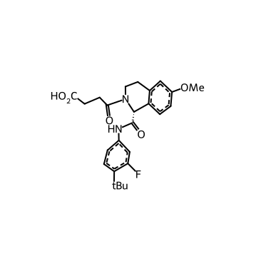 COc1ccc2c(c1)CCN(C(=O)CCC(=O)O)[C@H]2C(=O)Nc1ccc(C(C)(C)C)c(F)c1